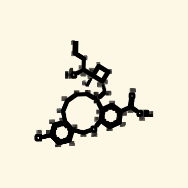 C=CC[C@H](O)[C@@]1(C)CC[C@@H]1CN1CCCCc2cc(Cl)ccc2COc2ccc(C(=O)OCC(C)C)cc21